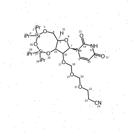 CC(C)[Si]1(C(C)C)OC[C@H]2O[C@@H](n3ccc(=O)[nH]c3=O)C(OCOCOCCC#N)C2O[Si](C(C)C)(C(C)C)O1